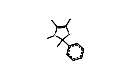 CC1=C(C)N(C)C(C)(c2ccccc2)N1